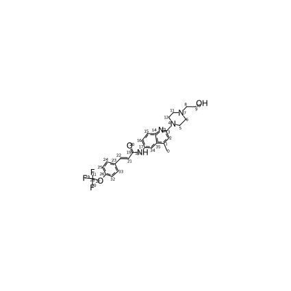 Cc1cc(N2CCN(CCO)CC2)nc2ccc(NC(=O)/C=C/c3ccc(OC(F)(F)F)cc3)cc12